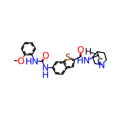 COc1ccccc1NC(=O)Nc1ccc2cc(C(=O)N[C@H]3CN4CCC3CC4)sc2c1